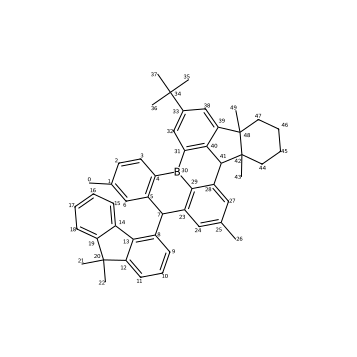 Cc1ccc2c(c1)C(c1cccc3c1-c1ccccc1C3(C)C)c1cc(C)cc3c1B2c1cc(C(C)(C)C)cc2c1C3C1(C)CCCCC21C